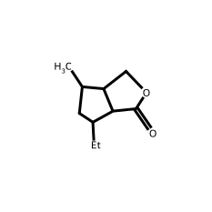 CCC1CC(C)C2COC(=O)C12